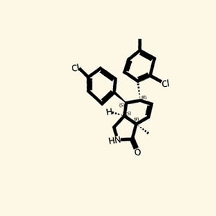 Cc1ccc([C@@H]2C=C[C@@]3(C)C(=O)NC[C@H]3[C@H]2c2ccc(Cl)cc2)c(Cl)c1